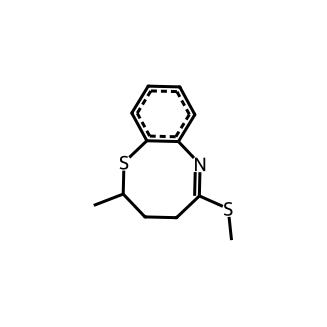 CSC1=Nc2ccccc2SC(C)CC1